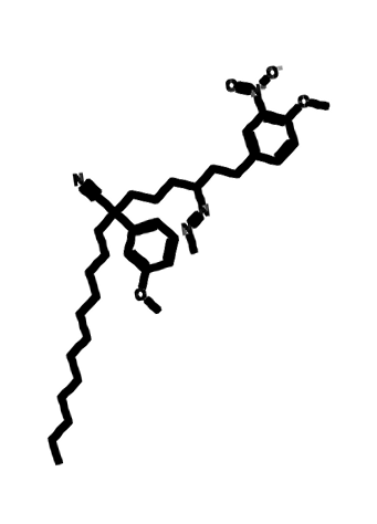 CCCCCCCCCCCCC(C#N)(CCCC(CCc1ccc(OC)c([N+](=O)[O-])c1)N=NC)c1cccc(OC)c1